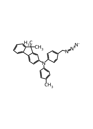 Cc1ccc(N(c2ccc(CN=[N+]=[N-])cc2)c2ccc3c(c2)C(C)(C)c2ccccc2-3)cc1